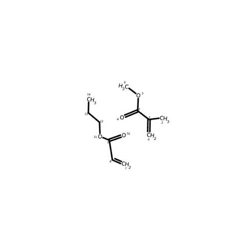 C=C(C)C(=O)OC.C=CC(=O)OCCC